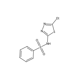 CCc1nnc(NS(=O)(=O)c2ccccc2)s1